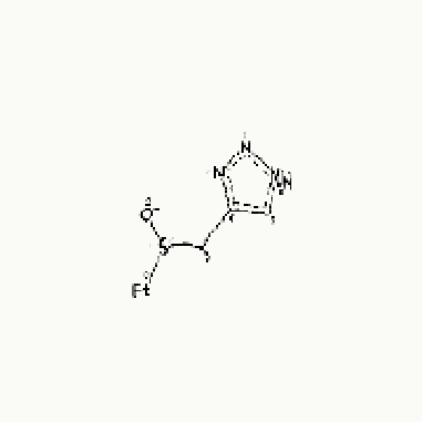 CC[S+]([O-])Cc1c[nH]nn1